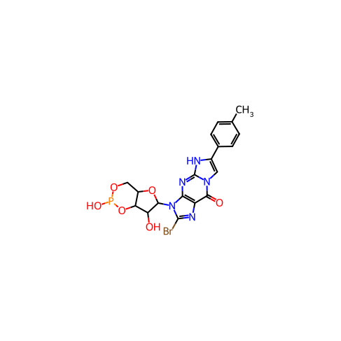 Cc1ccc(-c2cn3c(=O)c4nc(Br)n(C5OC6COP(O)OC6C5O)c4nc3[nH]2)cc1